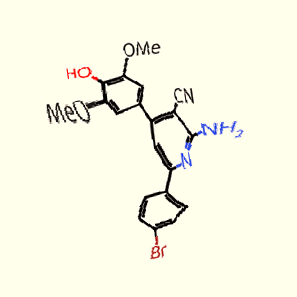 COc1cc(-c2cc(-c3ccc(Br)cc3)nc(N)c2C#N)cc(OC)c1O